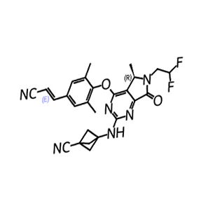 Cc1cc(/C=C/C#N)cc(C)c1Oc1nc(NC23CC(C#N)(C2)C3)nc2c1[C@@H](C)N(CC(F)F)C2=O